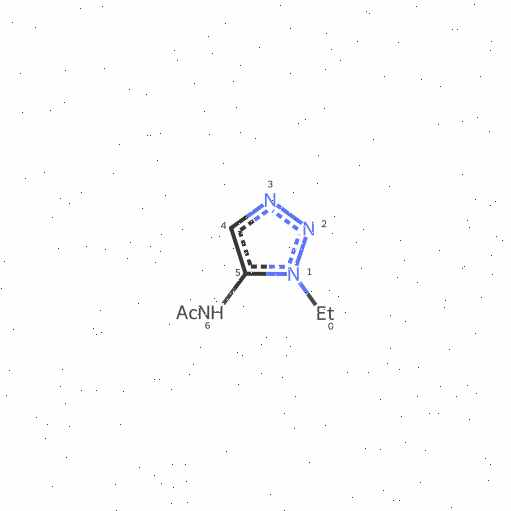 CCn1nncc1NC(C)=O